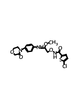 COC(CNc1ccc(N2CCOCC2=O)cc1)CONC(=O)c1ccc(Cl)s1